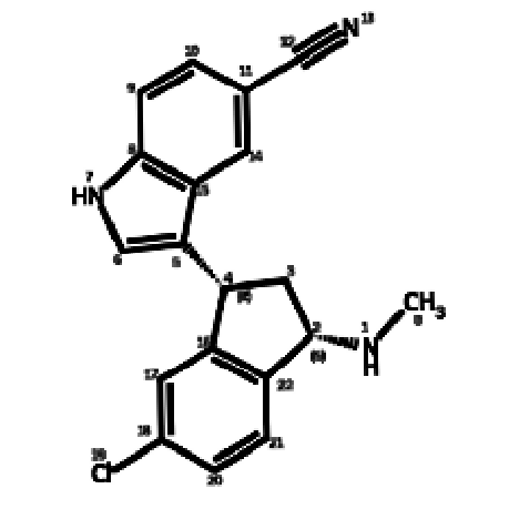 CN[C@H]1C[C@@H](c2c[nH]c3ccc(C#N)cc23)c2cc(Cl)ccc21